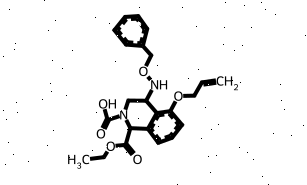 C=CCOc1cccc2c1C(NOCc1ccccc1)CN(C(=O)O)C2C(=O)OCC